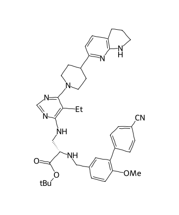 CCc1c(NC[C@H](NCc2ccc(OC)c(-c3ccc(C#N)cc3)c2)C(=O)OC(C)(C)C)ncnc1N1CCC(c2ccc3c(n2)NCCC3)CC1